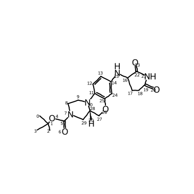 CC(C)(C)OC(=O)N1CCN2c3ccc(NC4CCC(=O)NC4=O)cc3OC[C@@H]2C1